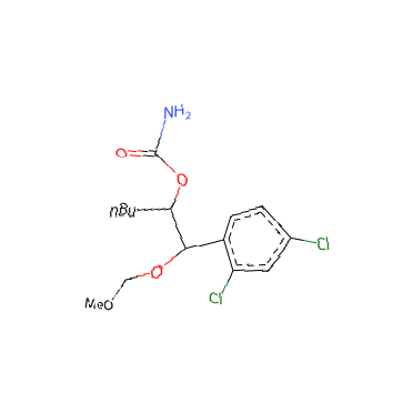 CCCCC(OC(N)=O)C(OCOC)c1ccc(Cl)cc1Cl